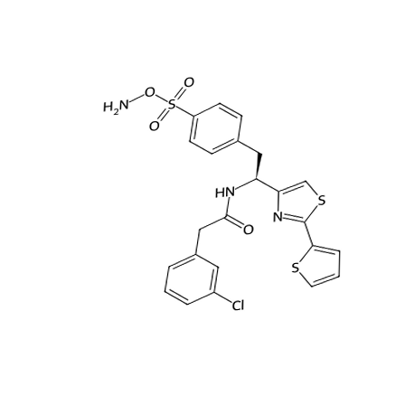 NOS(=O)(=O)c1ccc(C[C@H](NC(=O)Cc2cccc(Cl)c2)c2csc(-c3cccs3)n2)cc1